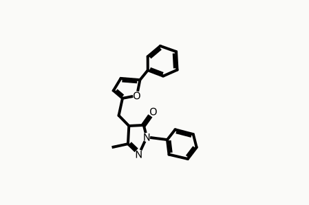 CC1=NN(c2ccccc2)C(=O)C1Cc1ccc(-c2ccccc2)o1